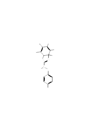 CN(C=NC1(C)C(Cl)=C(Cl)C(Cl)=C(Cl)C1Cl)Sc1ccc(Cl)cc1